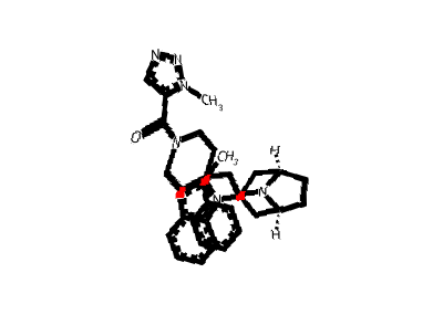 Cc1nc2ccccc2n1C1C[C@H]2CC[C@@H](C1)N2CCC1(c2ccccc2)CCN(C(=O)c2cnnn2C)CC1